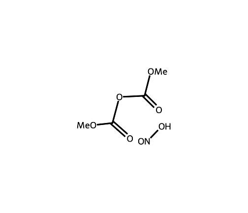 COC(=O)OC(=O)OC.O=NO